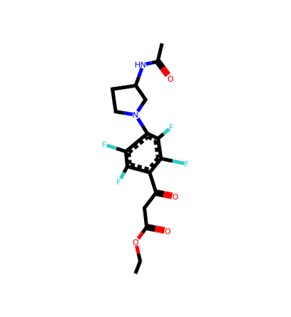 CCOC(=O)CC(=O)c1c(F)c(F)c(N2CCC(NC(C)=O)C2)c(F)c1F